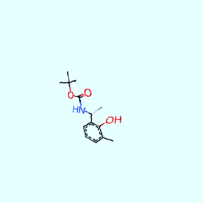 Cc1cccc([C@@H](C)NC(=O)OC(C)(C)C)c1O